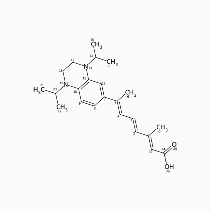 CC(/C=C/C=C(\C)c1ccc2c(c1)N(C(C)C)CCN2C(C)C)=C\C(=O)O